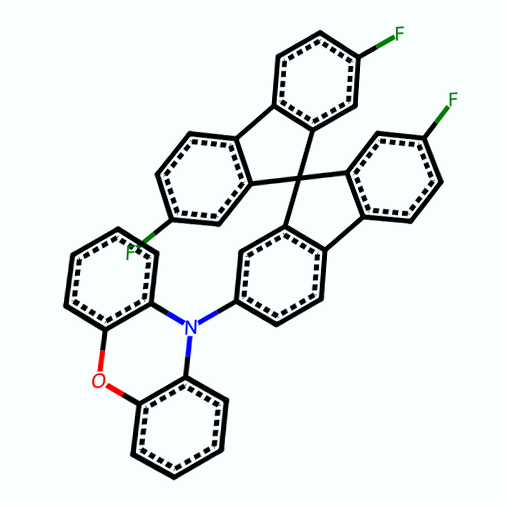 Fc1ccc2c(c1)C1(c3cc(F)ccc3-2)c2cc(F)ccc2-c2ccc(N3c4ccccc4Oc4ccccc43)cc21